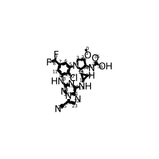 CO[C@@H]1CN(c2cc(C(F)F)cc(Nc3nc(NC4CC4)c4ncc(C#N)n4n3)c2Cl)C[C@@H]1NC(=O)O